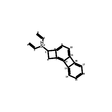 C=C[SiH](C=C)C1Cc2c1ccc1c2-c2ccccc2-1